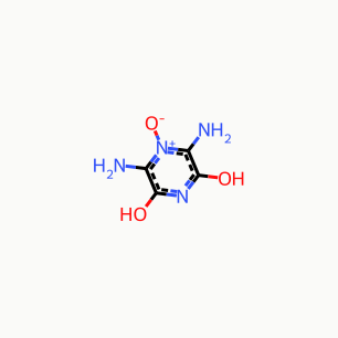 Nc1c(O)nc(O)c(N)[n+]1[O-]